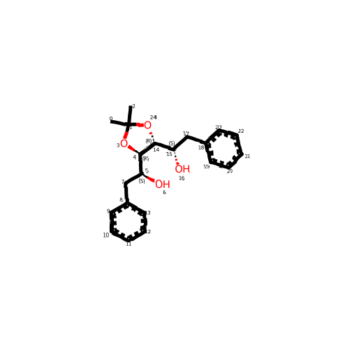 CC1(C)O[C@H]([C@@H](O)Cc2ccccc2)[C@@H]([C@@H](O)Cc2ccccc2)O1